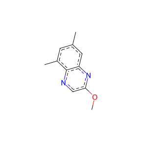 COc1cnc2c(C)cc(C)cc2n1